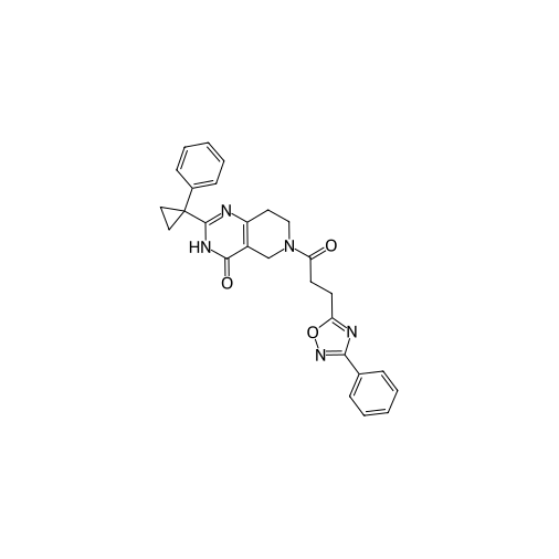 O=C(CCc1nc(-c2ccccc2)no1)N1CCc2nc(C3(c4ccccc4)CC3)[nH]c(=O)c2C1